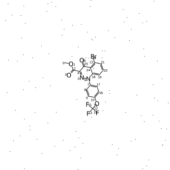 COC(=O)c1nn(-c2ccc(OC(F)(F)F)cc2)c2cccc(Br)c2c1=O